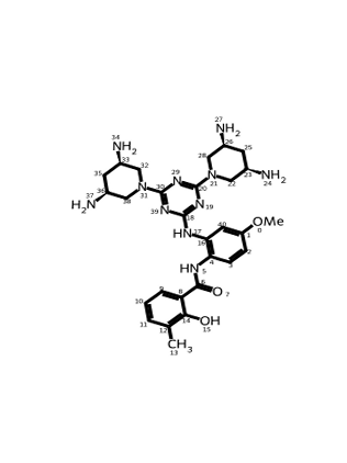 COc1ccc(NC(=O)c2cccc(C)c2O)c(Nc2nc(N3C[C@H](N)C[C@H](N)C3)nc(N3C[C@H](N)C[C@H](N)C3)n2)c1